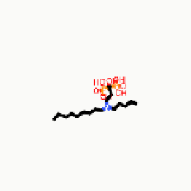 CCCCCCCCCN(CCCCC)CCC(O)(P(=O)(O)O)P(=O)(O)O